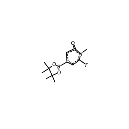 Cn1c(F)cc(B2OC(C)(C)C(C)(C)O2)cc1=O